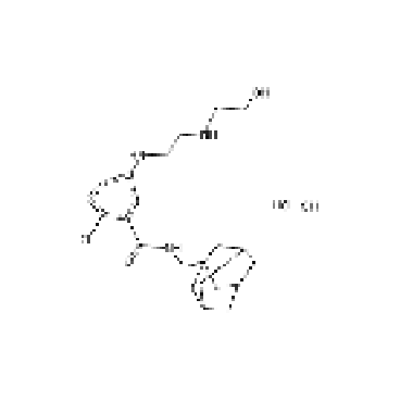 Cl.Cl.O=C(NCC12CC3CC(CC(C3)C1)C2)c1cc(NCCNCCO)ccc1Cl